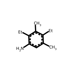 CCc1c(C)cc(N)c(CC)c1C